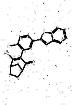 CCc1ccc(-c2cc3ccccc3s2)cc1C1=C(O)C2CCC(C2)C1=O